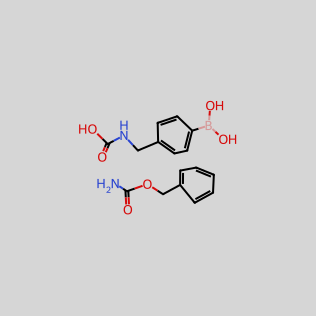 NC(=O)OCc1ccccc1.O=C(O)NCc1ccc(B(O)O)cc1